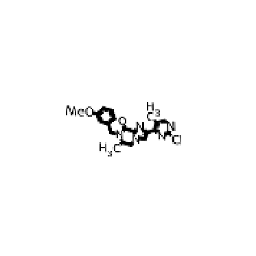 COc1cccc(CN2C(=O)c3nc(-c4nc(Cl)ncc4C)cn3CC2C)c1